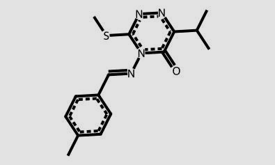 CSc1nnc(C(C)C)c(=O)n1N=Cc1ccc(C)cc1